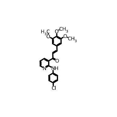 COc1cc(C=CC(=O)c2cccnc2Nc2ccc(Cl)cc2)cc(OC)c1OC